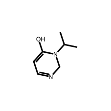 CC(C)N1CN=CC=C1O